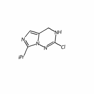 CC(C)c1ncc2n1N=C(Cl)NC2